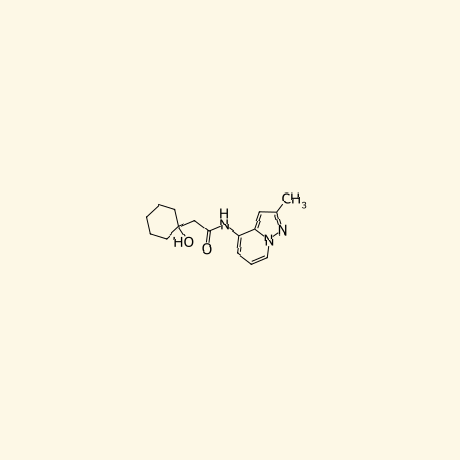 Cc1cc2c(NC(=O)CC3(O)CCCCC3)cccn2n1